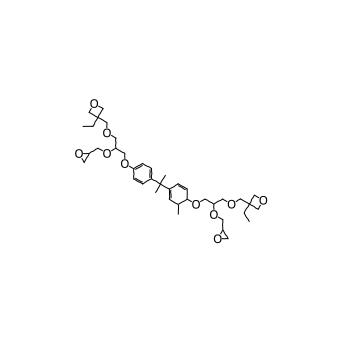 CCC1(COCC(COc2ccc(C(C)(C)C3=CC(C)C(OCC(COCC4(CC)COC4)OCC4CO4)C=C3)cc2)OCC2CO2)COC1